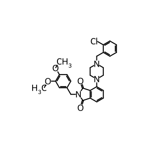 COc1ccc(CN2C(=O)c3cccc(N4CCN(Cc5ccccc5Cl)CC4)c3C2=O)cc1OC